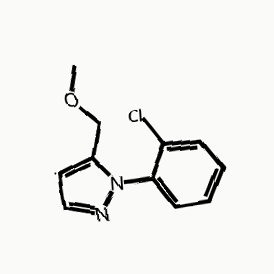 COCc1[c]cnn1-c1ccccc1Cl